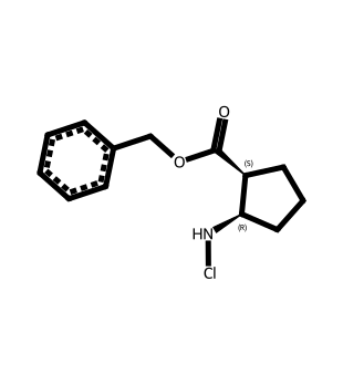 O=C(OCc1ccccc1)[C@H]1CCC[C@H]1NCl